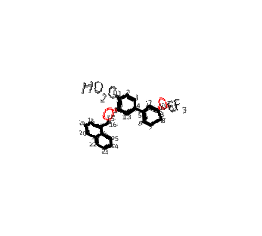 O=C(O)c1ccc(-c2cccc(OC(F)(F)F)c2)cc1OCc1cccc2ccccc12